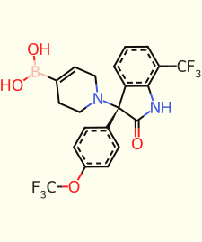 O=C1Nc2c(C(F)(F)F)cccc2[C@@]1(c1ccc(OC(F)(F)F)cc1)N1CC=C(B(O)O)CC1